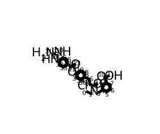 CCN(Cc1cccc(C(=O)O)c1)C(=O)CCc1ccc(OC(=O)c2ccc(NC(=N)N)cc2)cc1Cl